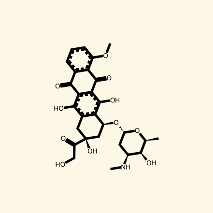 CN[C@H]1C[C@H](O[C@H]2C[C@](O)(C(=O)CO)Cc3c(O)c4c(c(O)c32)C(=O)c2c(OC)cccc2C4=O)O[C@@H](C)[C@H]1O